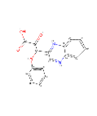 O=C(O)C(=O)C(Oc1ccccc1)c1cnc2ccccc2n1